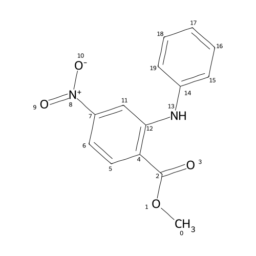 COC(=O)c1ccc([N+](=O)[O-])cc1Nc1ccccc1